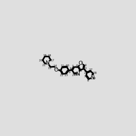 c1cc(-c2coc3cc(-c4ccc(OCCN5CCCCC5)cc4)cnc23)ccn1